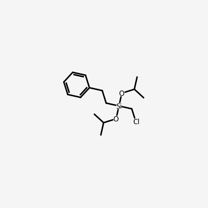 CC(C)O[Si](CCl)(CCc1ccccc1)OC(C)C